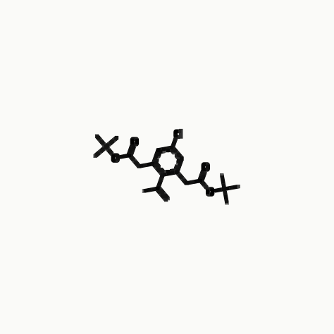 C=C(C)c1c(CC(=O)OC(C)(C)C)cc(Cl)cc1CC(=O)OC(C)(C)C